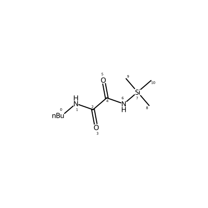 CCCCNC(=O)C(=O)N[Si](C)(C)C